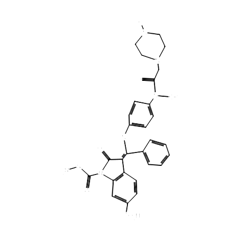 CN1CCN(CC(=O)N(C)c2ccc(N/C(=C3\C(=O)N(C(=O)NN)c4cc(C(=O)O)ccc43)c3ccccc3)cc2)CC1